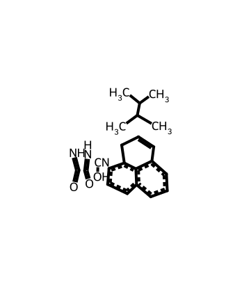 C1=Cc2cccc3cccc(c23)C1.CC(C)C(C)C.N#CO.N=C=O.N=C=O